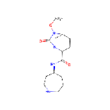 O=C(N[C@H]1CCCNCC1)C1CCC2CN1C(=O)N2OS(=O)(=O)O